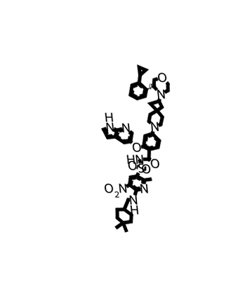 Cc1nc(NCC2CCC(C)(C)CC2)c([N+](=O)[O-])cc1S(=O)(=O)NC(=O)c1ccc(N2CCC3(CC2)CC(N2CCOC[C@H]2c2ccccc2C2CC2)C3)cc1Oc1cnc2[nH]ccc2c1